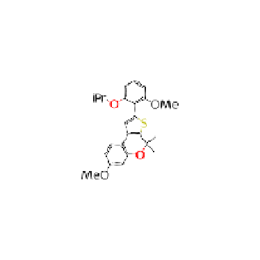 COc1ccc2c(c1)OC(C)(C)c1sc(-c3c(OC)cccc3OC(C)C)cc1-2